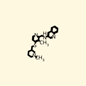 Cc1c(SCC2CCCN(C)C2)ccnc1CNc1cnc2ccccc2c1